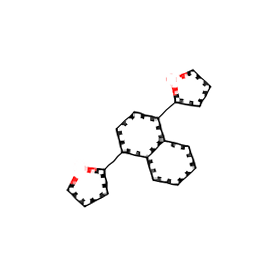 c1coc(-c2ccc(-c3ccco3)c3ccccc23)c1